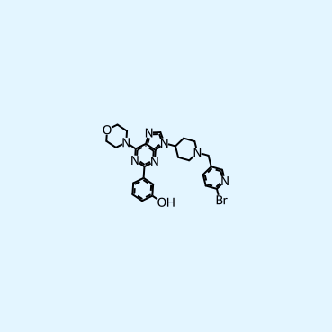 Oc1cccc(-c2nc(N3CCOCC3)c3ncn(C4CCN(Cc5ccc(Br)nc5)CC4)c3n2)c1